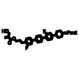 C=C(CO)C(=O)OCCCc1ccc(-c2ccc(-c3ccc(C4CCC(CCCCC)CC4)cc3F)cc2)cc1F